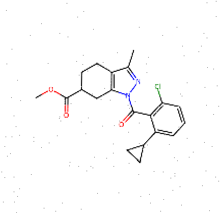 COC(=O)C1CCc2c(C)nn(C(=O)c3c(Cl)cccc3C3CC3)c2C1